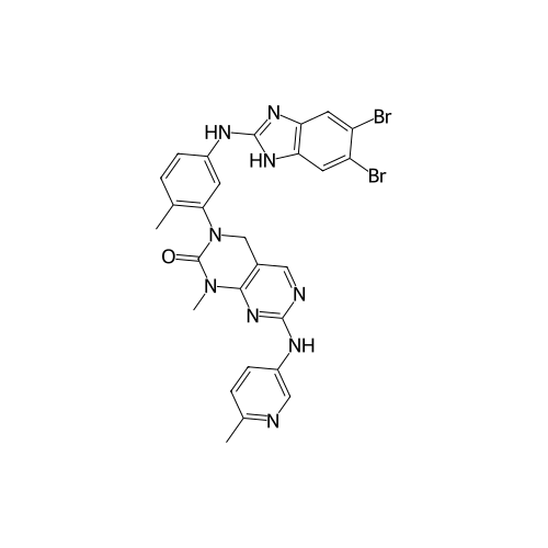 Cc1ccc(Nc2ncc3c(n2)N(C)C(=O)N(c2cc(Nc4nc5cc(Br)c(Br)cc5[nH]4)ccc2C)C3)cn1